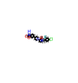 [2H]C([2H])(c1ccc(Cl)cc1F)N1CC[C@@H](N2CCC(c3ccc4[nH]c(=O)oc4c3)CC2)C1=O